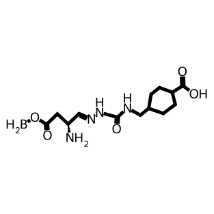 BOC(=O)C[C@H](N)/C=N/NC(=O)NCC1CCC(C(=O)O)CC1